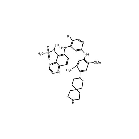 COc1cc(N2CCC3(CCNCC3)CC2)c(C)cc1Nc1ncc(Br)c(Nc2ccc3nccnc3c2N(C)S(C)(=O)=O)n1